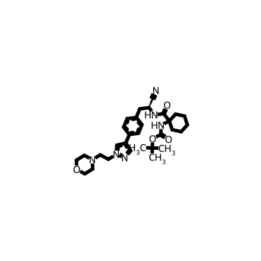 CC(C)(C)OC(=O)NC1(C(=O)N[C@H](C#N)Cc2ccc(-c3cnn(CCN4CCOCC4)c3)cc2)CCCCC1